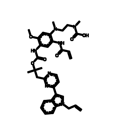 C=CCn1cc(-c2ccnc(CC(C)(C)OC(=O)Nc3cc(NC(=O)C=C)c(N(C)CCN(C)C(=O)O)cc3OC)n2)c2ccccc21